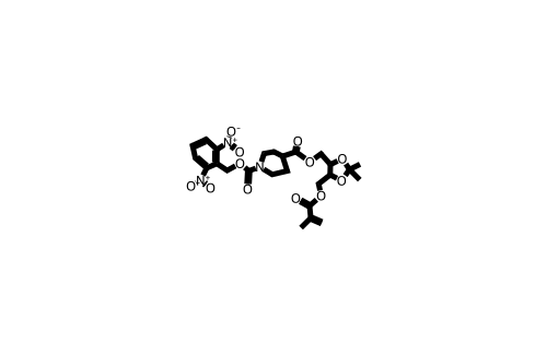 C=C(C)C(=O)OCC1OC(C)(C)OC1COC(=O)C1CCN(C(=O)OCc2c([N+](=O)[O-])cccc2[N+](=O)[O-])CC1